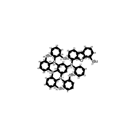 CC(C)(C)c1ccccc1N1c2cc(N(c3ccccc3)c3cccc4c3oc3c(C(C)(C)C)cccc34)cc3c2B(c2cccc(C(C)(C)C)c21)c1cccc(C(C)(C)C)c1N3c1ccccc1C(C)(C)C